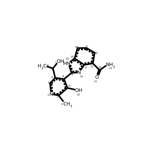 Cc1ncc(C(C)O)c(-c2nc3c(C(N)=O)cccc3[nH]2)c1O